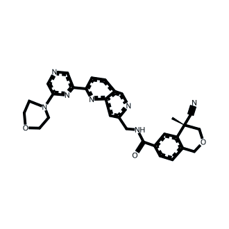 C[C@@]1(C#N)COCc2ccc(C(=O)NCc3cc4nc(-c5cncc(N6CCOCC6)n5)ccc4cn3)cc21